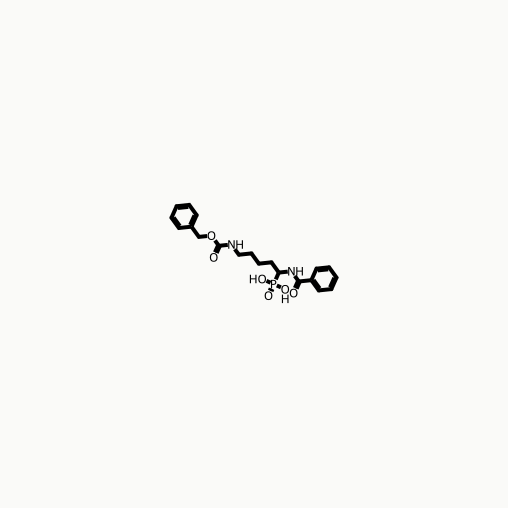 O=C(NCCCCC(NC(=O)c1ccccc1)P(=O)(O)O)OCc1ccccc1